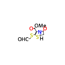 COC(=O)C1=C(SCC=O)S[C@@H]2CC(=O)N12